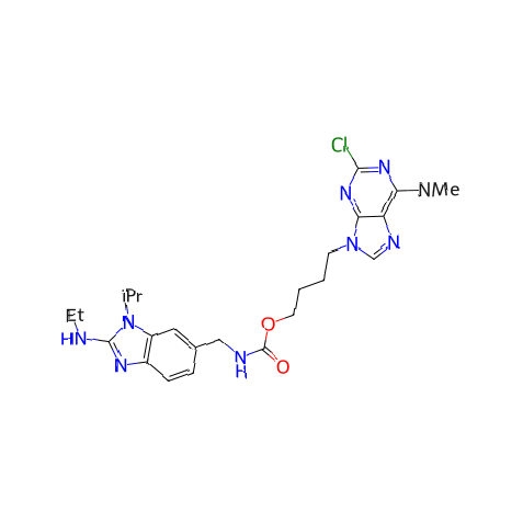 CCNc1nc2ccc(CNC(=O)OCCCCn3cnc4c(NC)nc(Cl)nc43)cc2n1C(C)C